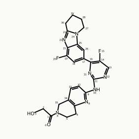 O=C(CO)N1CCc2nc(Nc3ncc(F)c(-c4cc(F)c5nc6n(c5c4)CCCC6)n3)ccc2C1